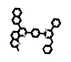 Cc1ccc2ccc3c(-c4ccc5ccccc5c4)cc(-c4ccc(-c5nc(CC6=CCCC=C6)cc(-c6ccccc6)n5)cc4)nc3c2n1